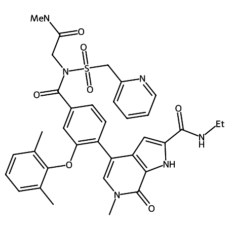 CCNC(=O)c1cc2c(-c3ccc(C(=O)N(CC(=O)NC)S(=O)(=O)Cc4ccccn4)cc3Oc3c(C)cccc3C)cn(C)c(=O)c2[nH]1